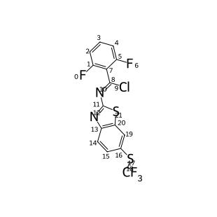 Fc1cccc(F)c1C(Cl)=Nc1nc2ccc(SC(F)(F)F)cc2s1